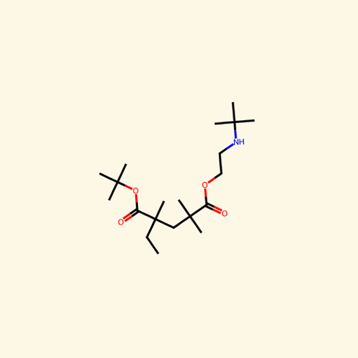 CCC(C)(CC(C)(C)C(=O)OCCNC(C)(C)C)C(=O)OC(C)(C)C